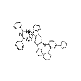 C1=C2C(Cc3c1c1ccccc1n3-c1ccc(-c3ccccc3)cc1-c1ccccc1)c1ccccc1N2C1NC(c2ccccc2)=NC(c2ccccc2)N1